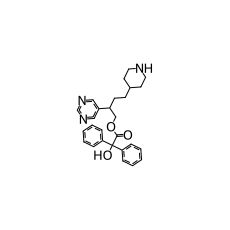 O=C(OCC(CCC1CCNCC1)c1cncnc1)C(O)(c1ccccc1)c1ccccc1